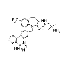 CC(C)(N)CC(=O)NC1CCc2cc(C(F)(F)F)ccc2N(Cc2ccc(-c3ccccc3-c3nnn[nH]3)cc2)C1=O